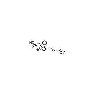 CC(C)(C)OC(=O)CCOCCCc1ccc(O)c(C2(c3ccccc3)CCN(C(=O)O)CC2)c1